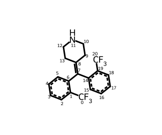 FC(F)(F)c1ccccc1C(=C1CCNCC1)c1ccccc1C(F)(F)F